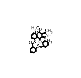 COC(=O)c1c(C)[nH]c(C)c1C(=O)c1ccccc1SC(=O)c1ccccc1SCc1ccccc1